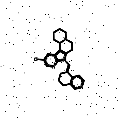 Clc1cnc2c(c1)c1c(n2/C=C2\CCCc3cnccc32)CCN2CCCCC12